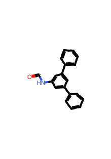 O=[C]Nc1cc(-c2ccccc2)cc(-c2ccccc2)c1